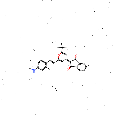 CNc1ccc(C=CC2=CC(=C3C(=O)c4ccccc4C3=O)C=C(C(C)(C)C)O2)c(C)c1